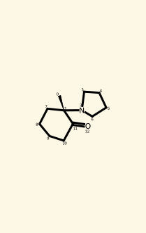 C[C@]1(N2CCCC2)CCCCC1=O